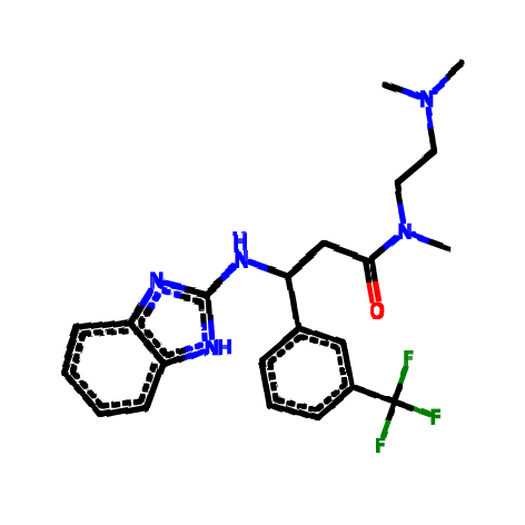 CN(C)CCN(C)C(=O)CC(Nc1nc2ccccc2[nH]1)c1cccc(C(F)(F)F)c1